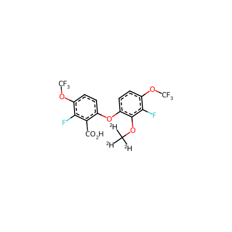 [2H]C([2H])([2H])Oc1c(Oc2ccc(OC(F)(F)F)c(F)c2C(=O)O)ccc(OC(F)(F)F)c1F